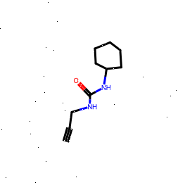 C#CCNC(=O)NC1CCCCC1